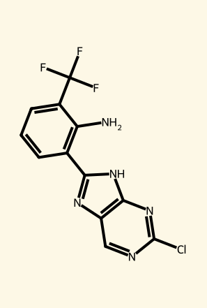 Nc1c(-c2nc3cnc(Cl)nc3[nH]2)cccc1C(F)(F)F